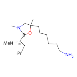 CN[C@@H](CC(C)C)B1OC(C)(CCCCCCN)CN1C